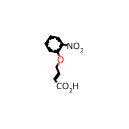 O=C(O)/C=C/COc1ccccc1[N+](=O)[O-]